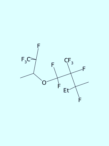 CCC(C)(F)C(F)(C(F)(F)F)C(F)(F)OC(C)C(C)(F)C(F)(F)F